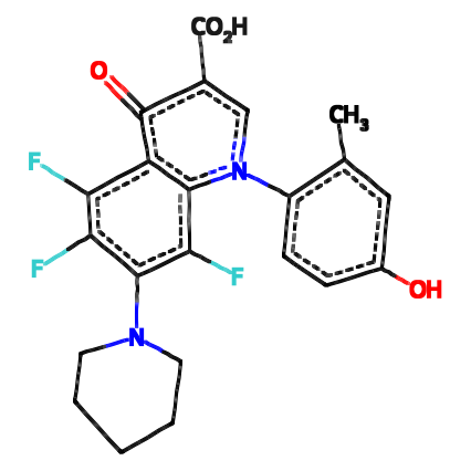 Cc1cc(O)ccc1-n1cc(C(=O)O)c(=O)c2c(F)c(F)c(N3CCCCC3)c(F)c21